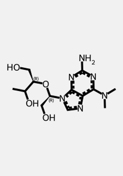 CC(O)[C@@H](CO)O[C@H](CO)n1cnc2c(N(C)C)nc(N)nc21